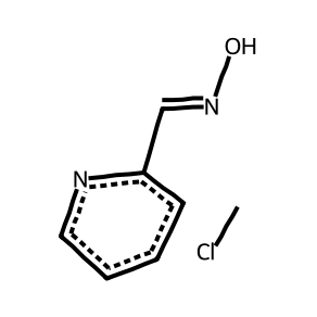 CCl.ON=Cc1ccccn1